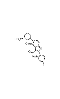 CNC(=O)c1c(-c2ccc(F)cc2)oc2ccc(-c3cccc(C(=O)O)c3OC)cc12